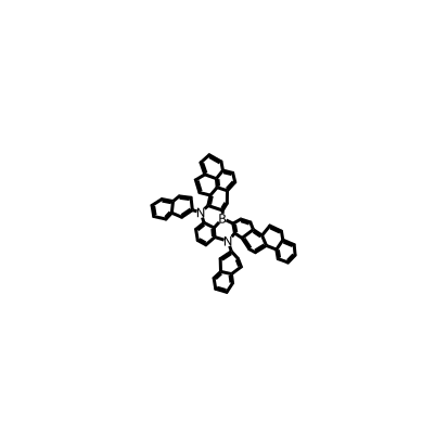 c1cc2c3c(c1)N(c1ccc4ccccc4c1)c1c(cc4ccc5cccc6ccc1c4c56)B3c1ccc3c(ccc4c5ccccc5ccc34)c1N2c1ccc2ccccc2c1